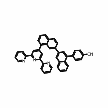 N#Cc1ccc(-c2cc(-c3ccc4cccc(-c5cc(-c6ccccn6)nc(-c6ccccn6)c5)c4c3)cc3ccccc23)cc1